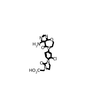 Nc1ncnc2c1C(=O)N(c1ccc(N3CCN(CC(=O)O)C3=O)c(Cl)c1)CCO2